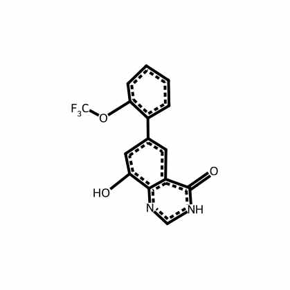 O=c1[nH]cnc2c(O)cc(-c3ccccc3OC(F)(F)F)cc12